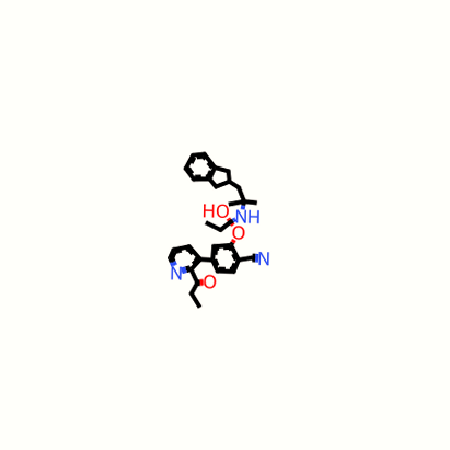 CCC(=O)c1ncccc1-c1ccc(C#N)c(OC(O)(CC)NC(C)(C)CC2Cc3ccccc3C2)c1